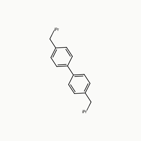 CC(C)Cc1ccc(-c2ccc(CC(C)C)cc2)cc1